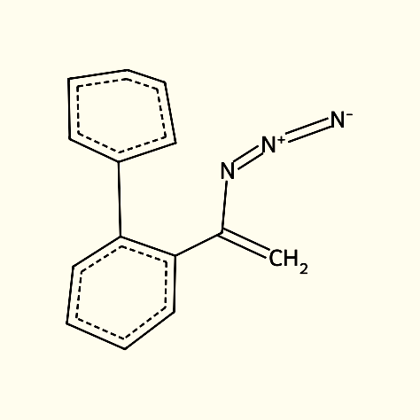 C=C(N=[N+]=[N-])c1ccccc1-c1ccccc1